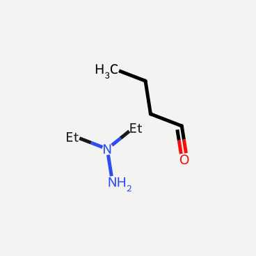 CCCC=O.CCN(N)CC